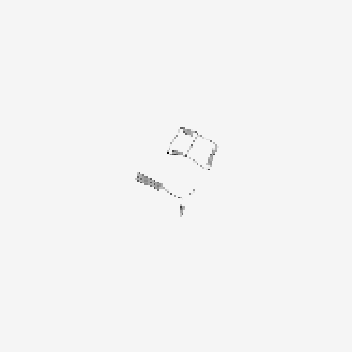 C#C[N+](=O)[O-].c1cc2ccc1-2